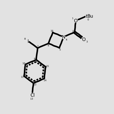 CC(C)(C)OC(=O)N1CC(C(I)c2ccc(Cl)cc2)C1